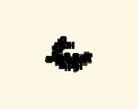 CC[C@@H]1O[C@](C)(NC(=O)c2cc(O[C@H]3CC[C@@](C)(C(=O)O)CC3)c(C#N)cc2OC)[C@@H]1C(=O)NCC1(C)CCC1